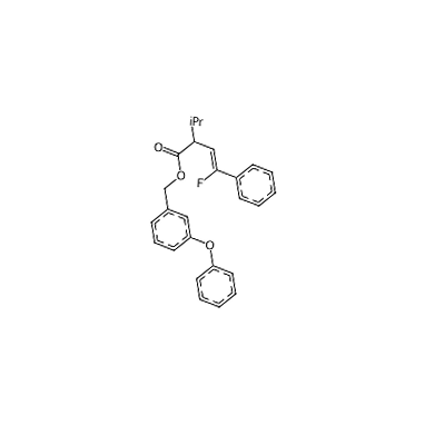 CC(C)C(C=C(F)c1ccccc1)C(=O)OCc1cccc(Oc2ccccc2)c1